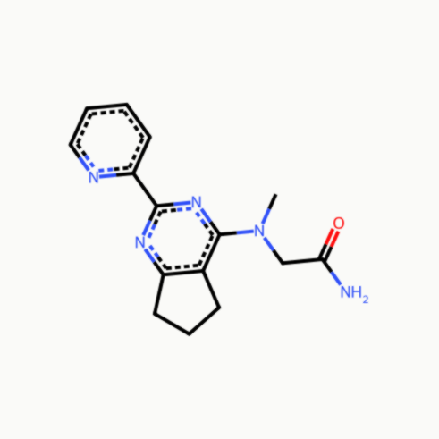 CN(CC(N)=O)c1nc(-c2ccccn2)nc2c1CCC2